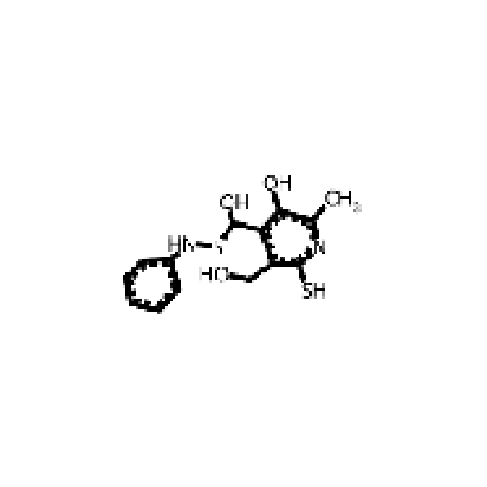 Cc1nc(S)c(CO)c(C(O)SNc2ccccc2)c1O